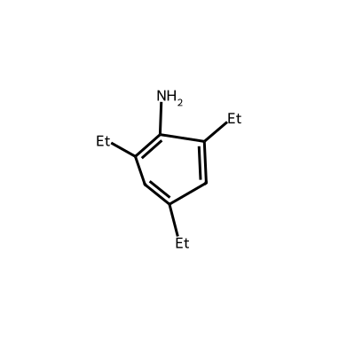 CCc1cc(CC)c(N)c(CC)c1